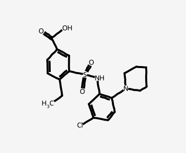 CCc1ccc(C(=O)O)cc1S(=O)(=O)Nc1cc(Cl)ccc1N1CCCCC1